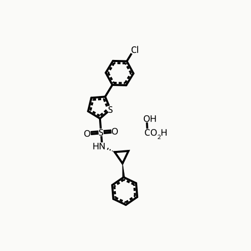 O=C(O)O.O=S(=O)(N[C@@H]1C[C@H]1c1ccccc1)c1ccc(-c2ccc(Cl)cc2)s1